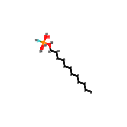 CCCCCCCCCCCCOP(=O)(O)F